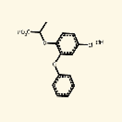 CC(Oc1ccc(Cl)cc1Oc1ccccc1)C(=O)O.Cl